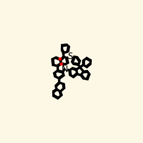 c1ccc(-c2ccc(-c3ccc4ccccc4c3)cc2N(c2ccc3c(c2)C(c2ccccc2)(c2ccccc2)c2ccccc2-3)c2ccc3c(c2)sc2ccccc23)cc1